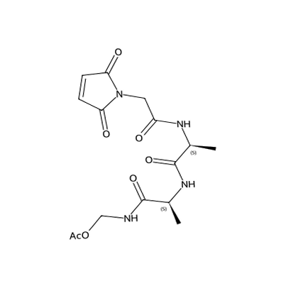 CC(=O)OCNC(=O)[C@H](C)NC(=O)[C@H](C)NC(=O)CN1C(=O)C=CC1=O